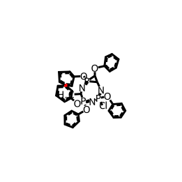 CC1N=P2(Oc3ccccc3)C(N=P(Cl)(Oc3ccccc3)N=P1(Oc1ccccc1)Oc1ccccc1)C2Oc1ccccc1